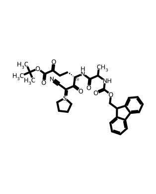 CC(NC(=O)OCC1c2ccccc2-c2ccccc21)C(=O)N[C@@H](CCC(=O)C(=O)OC(C)(C)C)C(=O)C(C#N)=S1CCCC1